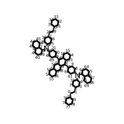 C(=Cc1ccc(N(c2ccc(-c3c4ccccc4c(-c4ccc(N(c5ccc(C=Cc6ccccc6)cc5)c5cccc6ccccc56)cc4)c4cc5ccccc5cc34)cc2)c2cccc3ccccc23)cc1)c1ccccc1